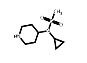 CS(=O)(=O)N(C1CCNCC1)C1CC1